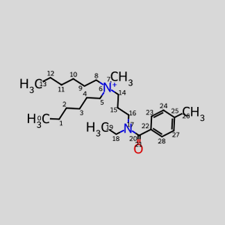 CCCCCC[N+](C)(CCCCCC)CCCN(CC)C(=O)c1ccc(C)cc1